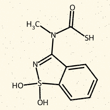 CN(C(=O)S)C1=NS(O)(O)c2ccccc21